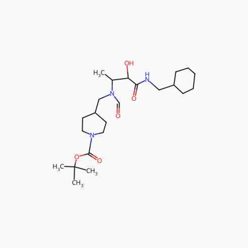 CC(C(O)C(=O)NCC1CCCCC1)N(C=O)CC1CCN(C(=O)OC(C)(C)C)CC1